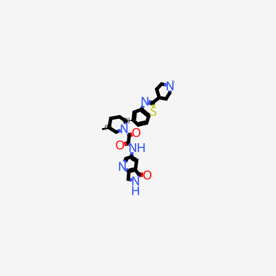 C[C@H]1CC[C@H](c2ccc3sc(C4CCN(C)CC4)nc3c2)N(C(=O)C(=O)Nc2cnc3c(c2)C(=O)NC3)C1